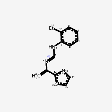 C=C(/N=C/Nc1ccccc1CC)c1nccs1